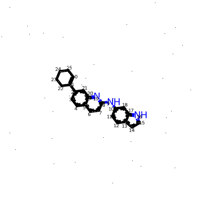 C1=C(c2ccc3ccc(Nc4ccc5cc[nH]c5c4)nc3c2)CCCC1